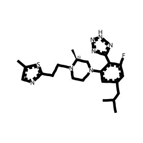 Cc1cnc(CCN2CCN(c3cc(CC(C)C)cc(F)c3-c3nn[nH]n3)C[C@@H]2C)s1